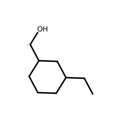 CCC1CCCC([CH]O)C1